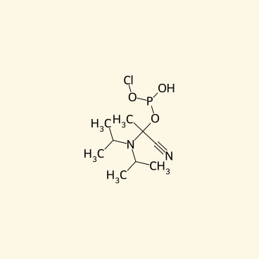 CC(C)N(C(C)C)C(C)(C#N)OP(O)OCl